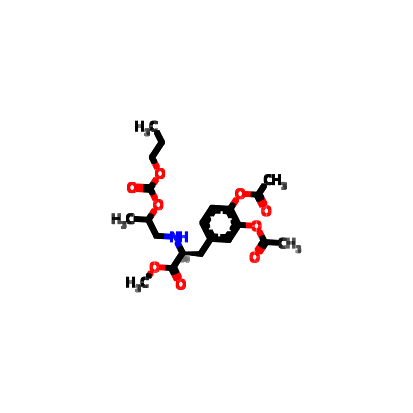 CCCOC(=O)OC(C)CN[C@@H](Cc1ccc(OC(C)=O)c(OC(C)=O)c1)C(=O)OC